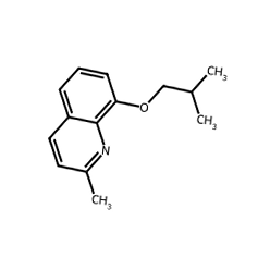 Cc1ccc2cccc(OCC(C)C)c2n1